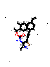 C=Cc1ccc(C#Cc2snc(C)c2NC(=O)OC(C)c2ccccc2C)cc1